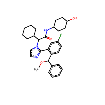 COC(c1ccccc1)c1ccc(F)cc1-c1nccn1C(C(=O)NC1CCC(O)CC1)C1CCCCC1